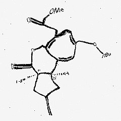 C=C1C[C@@H]2c3cc(OCCCC)cc(C(=O)OC)c3OC(=O)[C@@H]2C1